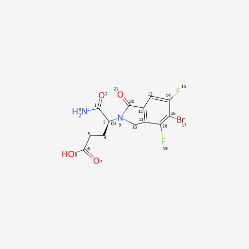 NC(=O)[C@H](CCC(=O)O)N1Cc2c(cc(F)c(Br)c2F)C1=O